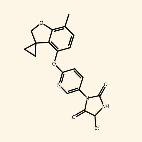 CCC1NC(=O)N(c2ccc(Oc3ccc(C)c4c3C3(CC3)CO4)nc2)C1=O